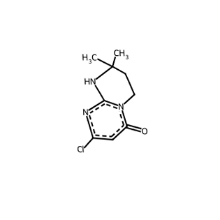 CC1(C)CCn2c(nc(Cl)cc2=O)N1